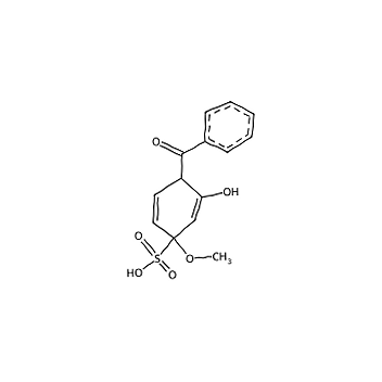 COC1(S(=O)(=O)O)C=CC(C(=O)c2ccccc2)C(O)=C1